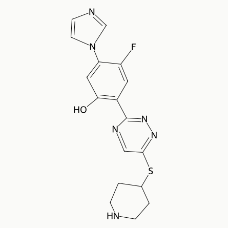 Oc1cc(-n2ccnc2)c(F)cc1-c1ncc(SC2CCNCC2)nn1